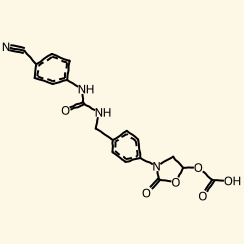 N#Cc1ccc(NC(=O)NCc2ccc(N3CC(OC(=O)O)OC3=O)cc2)cc1